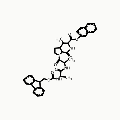 CC(NC(=O)OCC1c2ccccc2-c2ccccc21)C(=O)NC(C)C(=O)N1CCC2C(C)C(C(=O)Oc3ccc4ccccc4c3)NC(=O)C21